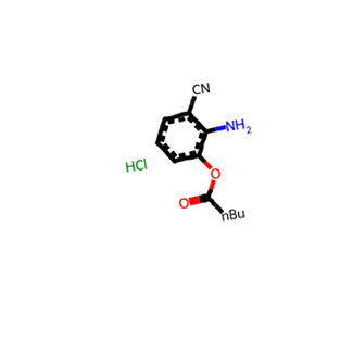 CCCCC(=O)Oc1cccc(C#N)c1N.Cl